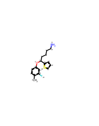 Cc1ccc(OC(CCCCN)c2cccs2)cc1F